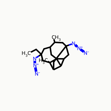 CCC1(N=[N+]=[N-])CC2CC34C5CC(N=[N+]=[N-])(CC2C)CC(C53)C4(C)C1